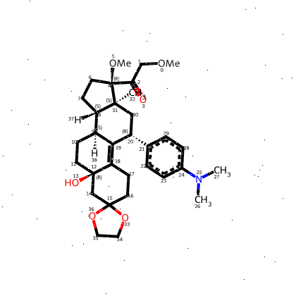 COCC(=O)[C@@]1(OC)CC[C@H]2[C@@H]3CC[C@@]4(O)CC5(CCC4=C3[C@@H](c3ccc(N(C)C)cc3)C[C@@]21C)OCCO5